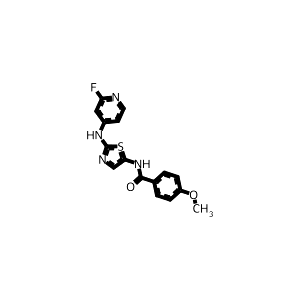 COc1ccc(C(=O)Nc2cnc(Nc3ccnc(F)c3)s2)cc1